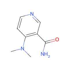 CN(C)c1ccncc1C(N)=O